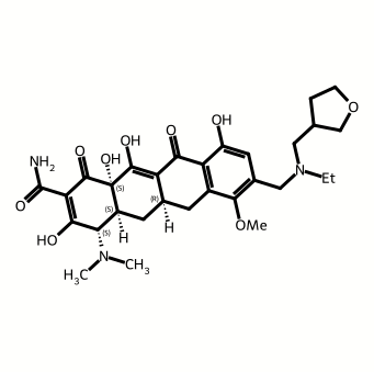 CCN(Cc1cc(O)c2c(c1OC)C[C@H]1C[C@H]3[C@H](N(C)C)C(O)=C(C(N)=O)C(=O)[C@@]3(O)C(O)=C1C2=O)CC1CCOC1